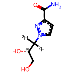 [2H]C([2H])([C@@H](O)CO)n1ccc(C(N)=O)n1